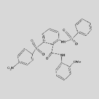 COc1ccccc1NC(=O)c1c(NS(=O)(=O)c2ccccc2)cccc1S(=O)(=O)c1ccc([N+](=O)[O-])cc1